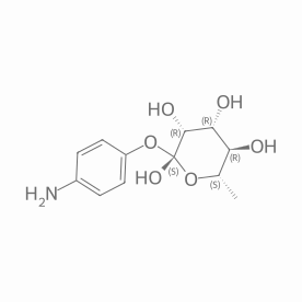 C[C@@H]1O[C@](O)(Oc2ccc(N)cc2)[C@H](O)[C@H](O)[C@H]1O